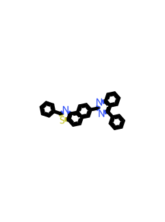 c1ccc(-c2nc3c(ccc4cc(-c5nc(-c6ccccc6)c6ccccc6n5)ccc43)s2)cc1